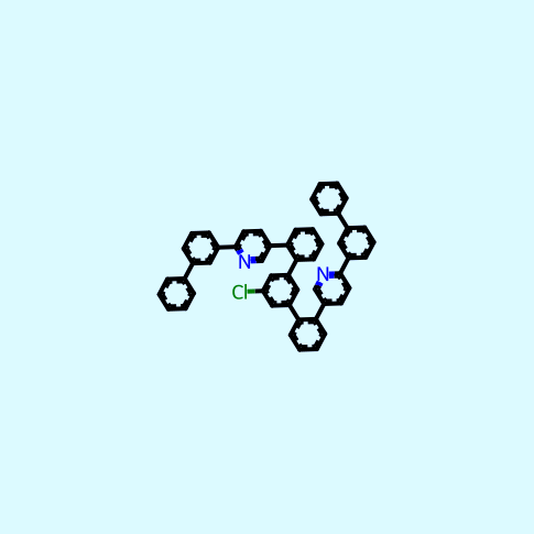 Clc1cc(-c2ccccc2-c2ccc(-c3cccc(-c4ccccc4)c3)nc2)cc(-c2ccccc2-c2ccc(-c3cccc(-c4ccccc4)c3)nc2)c1